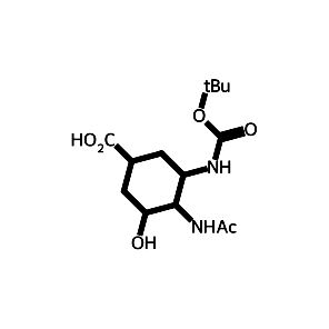 CC(=O)NC1C(O)CC(C(=O)O)CC1NC(=O)OC(C)(C)C